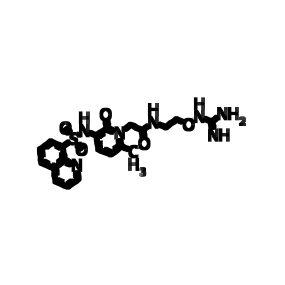 Cc1ccc(NS(=O)(=O)c2cccc3cccnc23)c(=O)n1CC(=O)NCCONC(=N)N